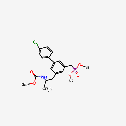 CCOP(=O)(Cc1cc(CC(NC(=O)OC(C)(C)C)C(=O)O)cc(-c2ccc(Cl)cc2)c1)OCC